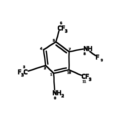 Nc1c(C(F)(F)F)cc(C(F)(F)F)c(NF)c1C(F)(F)F